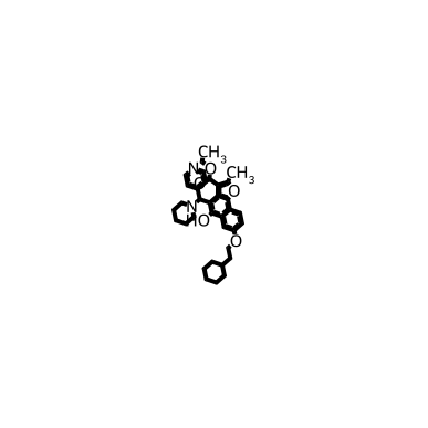 CCOC(=O)c1c(C)oc2c1c(C(c1ccncc1)N1CCCCC1)c(O)c1cc(OCCC3CCCCC3)ccc12